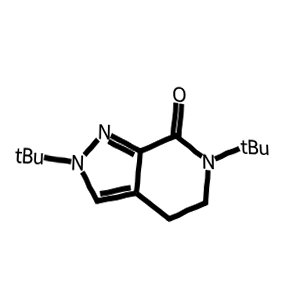 CC(C)(C)N1CCc2cn(C(C)(C)C)nc2C1=O